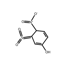 O=[N+]([O-])C1C=CC(O)=CC1=S(=O)=O